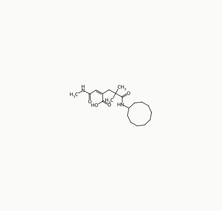 CNC(=O)/C=C(/CC(C)(C)C(=O)NC1CCCCCCCCC1)C(=O)O